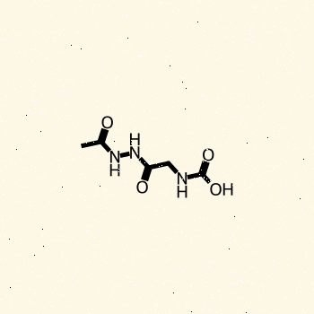 CC(=O)NNC(=O)CNC(=O)O